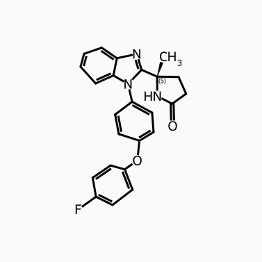 C[C@@]1(c2nc3ccccc3n2-c2ccc(Oc3ccc(F)cc3)cc2)CCC(=O)N1